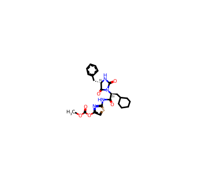 COC(=O)Oc1csc(NC(=O)[C@H](CC2CCCCC2)N2C(=O)N[C@@H](Cc3ccccc3)C2=O)n1